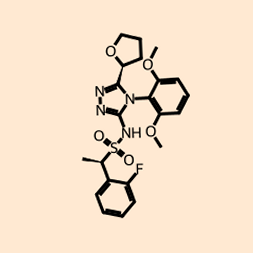 COc1cccc(OC)c1-n1c(NS(=O)(=O)[C@H](C)c2ccccc2F)nnc1[C@@H]1CCCO1